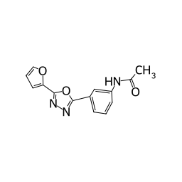 CC(=O)Nc1cccc(-c2nnc(-c3ccco3)o2)c1